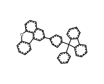 c1ccc(C2(c3ccc(-c4cc5c6c(cccc6c4)Oc4ccccc4-5)cc3)c3ccccc3-c3ccccc32)cc1